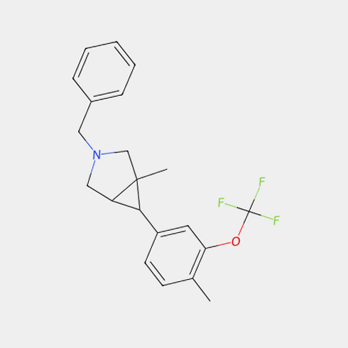 Cc1ccc(C2C3CN(Cc4ccccc4)CC32C)cc1OC(F)(F)F